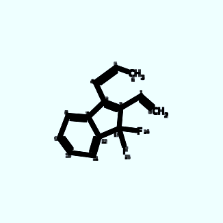 C=CC1=C(/C=C\C)c2ccccc2C1(F)F